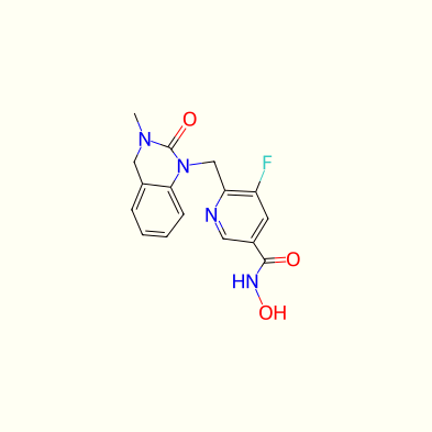 CN1Cc2ccccc2N(Cc2ncc(C(=O)NO)cc2F)C1=O